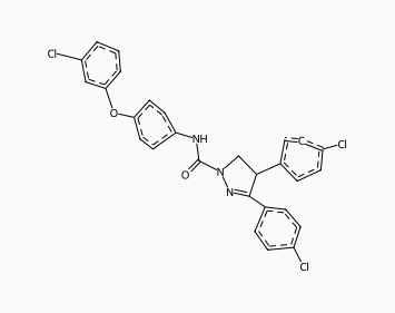 O=C(Nc1ccc(Oc2cccc(Cl)c2)cc1)N1CC(c2ccc(Cl)cc2)C(c2ccc(Cl)cc2)=N1